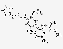 COC[C@H](C)Nc1nc(C)cc2[nH]c3cc(OCCCN4CCCC4)c(OC)cc3c12